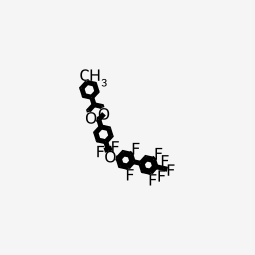 CC1CCC(C2COC(C3CCC(C(F)(F)Oc4cc(F)c(-c5cc(F)c(C(F)(F)F)c(F)c5)c(F)c4)CC3)OC2)CC1